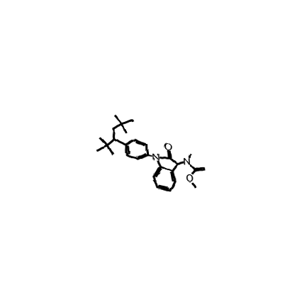 C=C(OC)N(C)C1C(=O)N(c2ccc(C(CC(C)(C)C)C(C)(C)C)cc2)c2ccccc21